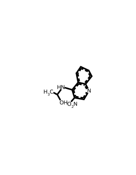 C[C](O)Nc1c([N+](=O)[O-])cnc2ccccc12